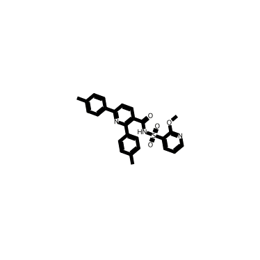 COc1ncccc1S(=O)(=O)NC(=O)c1ccc(-c2ccc(C)cc2)nc1-c1ccc(C)cc1